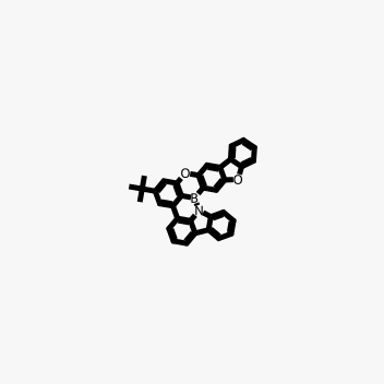 CC(C)(C)c1cc2c3c(c1)-c1cccc4c5ccccc5n(c14)B3c1cc3oc4ccccc4c3cc1O2